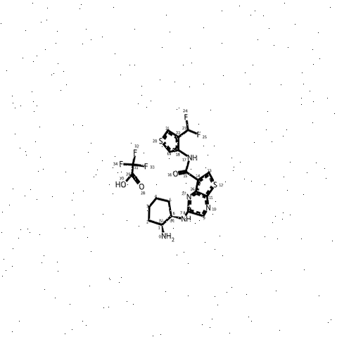 N[C@H]1CCCC[C@H]1Nc1cnc2scc(C(=O)Nc3cscc3C(F)F)c2n1.O=C(O)C(F)(F)F